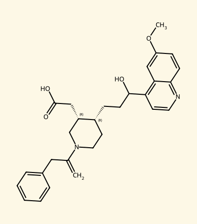 C=C(Cc1ccccc1)N1CC[C@@H](CCC(O)c2ccnc3ccc(OC)cc23)[C@@H](CC(=O)O)C1